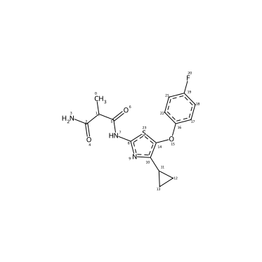 C[C](C(N)=O)C(=O)Nc1nc(C2CC2)c(Oc2ccc(F)cc2)s1